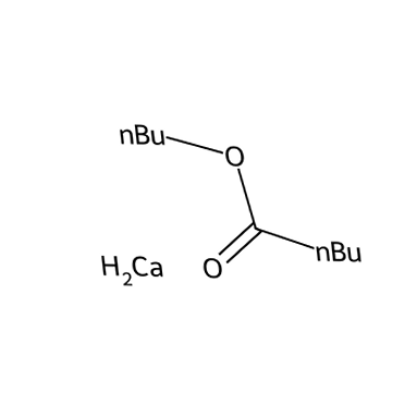 CCCCOC(=O)CCCC.[CaH2]